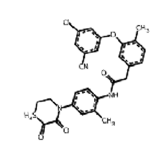 Cc1cc(N2CC[SH4]C(=O)C2=O)ccc1NC(=O)Cc1ccc(C)c(Oc2cc(Cl)cc(C#N)c2)c1